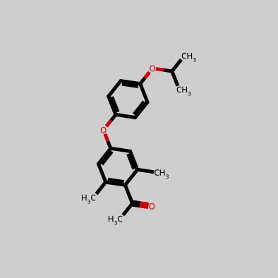 CC(=O)c1c(C)cc(Oc2ccc(OC(C)C)cc2)cc1C